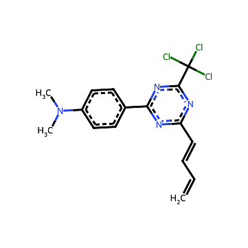 C=CC=Cc1nc(-c2ccc(N(C)C)cc2)nc(C(Cl)(Cl)Cl)n1